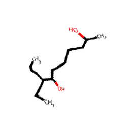 CCC(CC)C(O)CCCCC(C)O